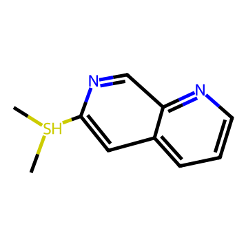 C[SH](C)c1cc2cccnc2cn1